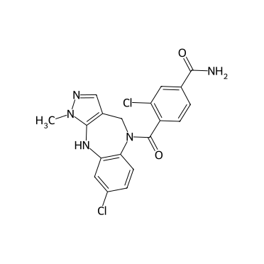 Cn1ncc2c1Nc1cc(Cl)ccc1N(C(=O)c1ccc(C(N)=O)cc1Cl)C2